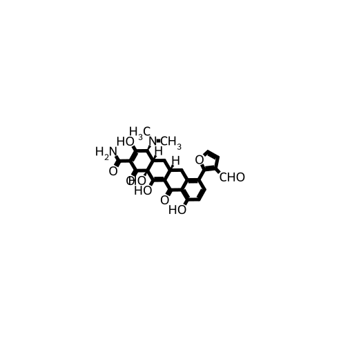 CN(C)[C@@H]1C(O)=C(C(N)=O)C(=O)[C@@]2(O)C(O)=C3C(=O)c4c(O)ccc(-c5occc5C=O)c4C[C@H]3C[C@@H]12